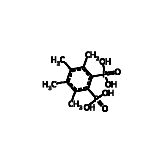 Cc1c(C)c(C)c(P(=O)(O)O)c(P(=O)(O)O)c1C